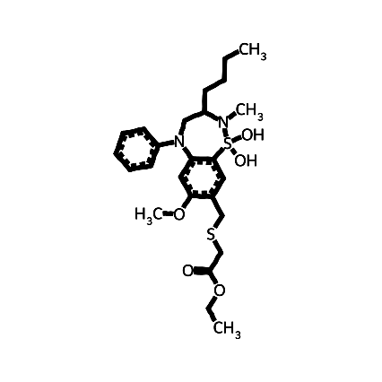 CCCCC1CN(c2ccccc2)c2cc(OC)c(CSCC(=O)OCC)cc2S(O)(O)N1C